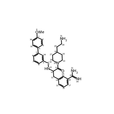 COc1ccc(-c2cccc(SNC(Cc3cccc(C(=N)N)c3)C(=O)N3CCC(CCN)CC3)c2)cc1